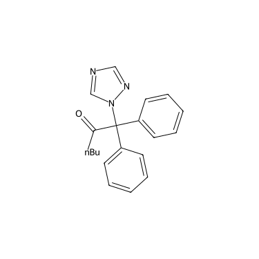 CCCCC(=O)C(c1ccccc1)(c1ccccc1)n1cncn1